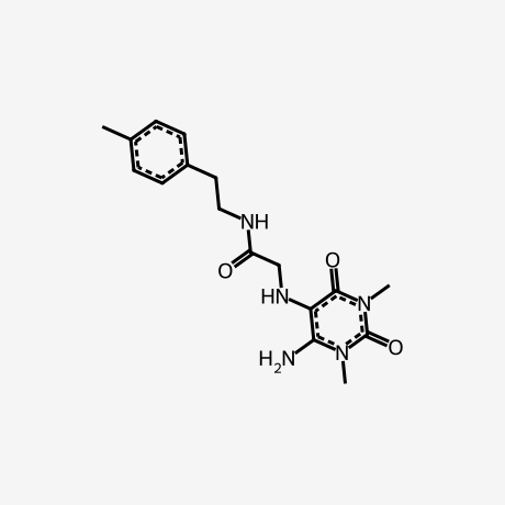 Cc1ccc(CCNC(=O)CNc2c(N)n(C)c(=O)n(C)c2=O)cc1